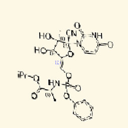 CC(C)OC(=O)[C@H](C)NP(=O)(O/C=C1\O[C@@](C#N)(n2ccc(=O)[nH]c2=O)[C@](C)(O)[C@@H]1O)Oc1ccccc1